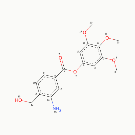 COc1cc(OC(=O)c2ccc(CO)c(N)c2)cc(OC)c1OC